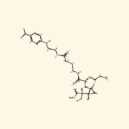 CC[C@](C)(C(=O)OC)C1(C)CC1(C)CC(SCCO)C(=O)OCCNC(=O)OCCOc1ccc(C(C)C)cc1